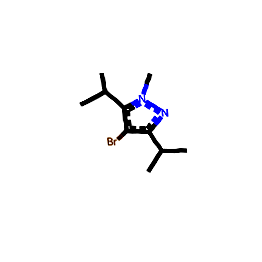 CC(C)c1nn(C)c(C(C)C)c1Br